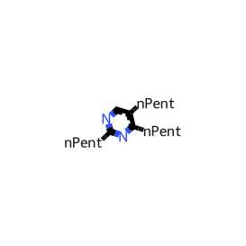 CCCCCc1ncc(CCCCC)c(CCCCC)n1